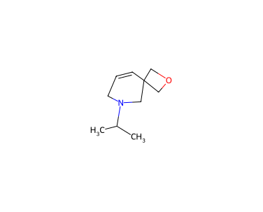 CC(C)N1CC=CC2(COC2)C1